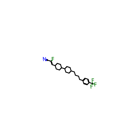 N#CC(F)=CC1CCC(C2CCC(CCCCc3ccc(C(F)(F)F)cc3)CC2)CC1